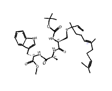 C=CC(C)(CC/C=C(\C)CCC=C(C)C)SC[C@H](NC(=O)OC(C)(C)C)C(=O)N[C@@H](C)C(=O)N[C@@H](Cc1c[nH]c2ccccc12)C(=O)OC